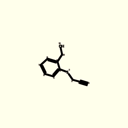 C#CCSc1ccccc1CO